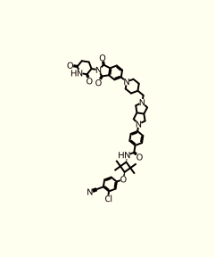 CC1(C)[C@H](NC(=O)c2ccc(N3CC4CN(CC5CCN(c6ccc7c(c6)C(=O)N(C6CCC(=O)NC6=O)C7=O)CC5)CC4C3)cc2)C(C)(C)[C@H]1Oc1ccc(C#N)c(Cl)c1